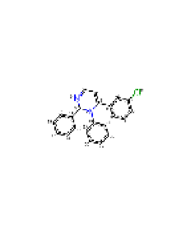 Clc1cccc(C2=CC=NC(c3ccccc3)N2c2ccccc2)c1